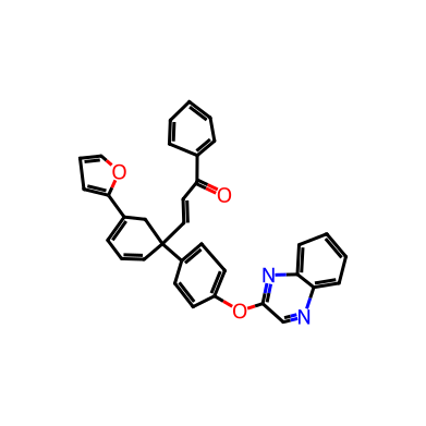 O=C(C=CC1(c2ccc(Oc3cnc4ccccc4n3)cc2)C=CC=C(c2ccco2)C1)c1ccccc1